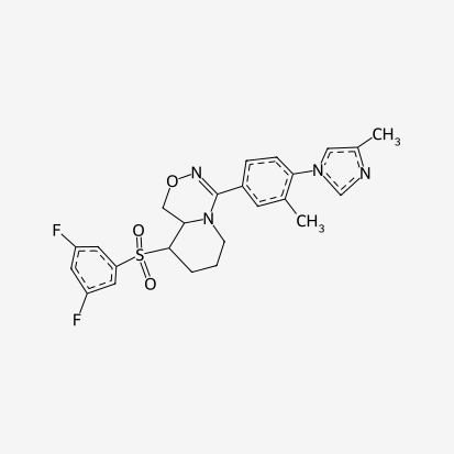 Cc1cn(-c2ccc(C3=NOCC4C(S(=O)(=O)c5cc(F)cc(F)c5)CCCN34)cc2C)cn1